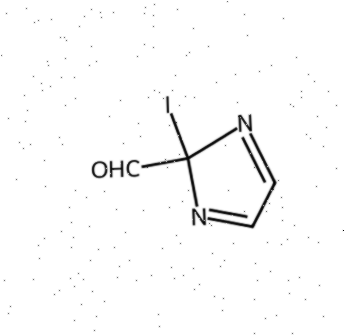 O=CC1(I)N=CC=N1